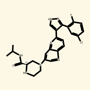 CC(C)NC(=O)[C@H]1CN(c2cnc3ccc(-c4c[nH]nc4-c4cc(Cl)ccc4F)nc3c2)CCN1